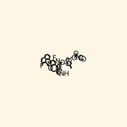 C#Cc1c(F)ccc2cccc(-c3nc4c5c(nc(OC[C@@]67CC[C@@H](COC(=O)N8CCOCC8)N6CC(=C)C7)nc5c3F)N3CC5CCC(CN5)C3CCO4)c12